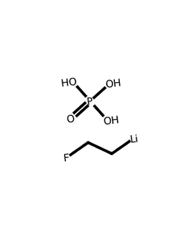 O=P(O)(O)O.[Li][CH2]CF